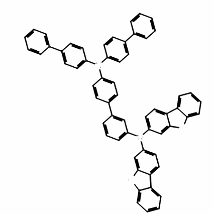 c1ccc(-c2ccc(N(c3ccc(-c4ccccc4)cc3)c3ccc(-c4cccc(N(c5ccc6c(c5)oc5ccccc56)c5ccc6c(c5)oc5ccccc56)c4)cc3)cc2)cc1